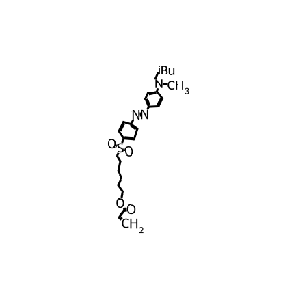 C=CC(=O)OCCCCCCS(=O)(=O)c1ccc(/N=N/c2ccc(N(C)CC(C)CC)cc2)cc1